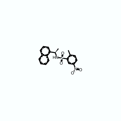 Cc1ccc([N+](=O)[O-])cc1S(=O)(=O)N[C@H](C)c1cccc2ccccc12